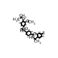 COc1cc(S(=O)(=O)NC2CCC(C(=O)N[C@H](C)c3ccc(F)cc3)CC2)ccc1OC(C)C